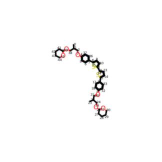 CC(COc1ccc(-c2ccc(-c3ccc(-c4ccc(OCC(C)COC5CCCCO5)cc4)s3)s2)cc1)COC1CCCCO1